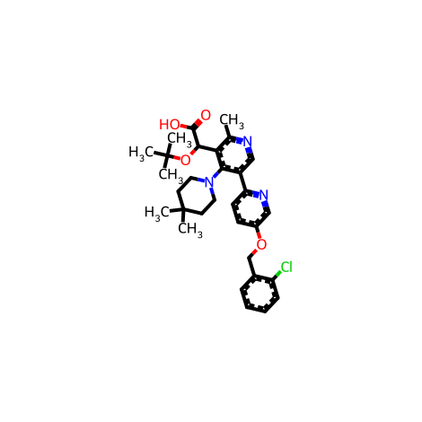 Cc1ncc(-c2ccc(OCc3ccccc3Cl)cn2)c(N2CCC(C)(C)CC2)c1C(OC(C)(C)C)C(=O)O